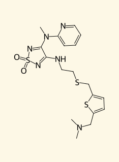 CN(C)Cc1ccc(CSCCNC2=NS(=O)(=O)N=C2N(C)c2ccccn2)s1